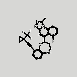 Cc1nnc2nc(C3CCNc4cccc(C#CC5(C(F)(F)F)CC5)c4O3)c3c(F)cccc3n12